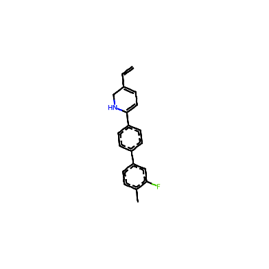 C=CC1=CC=C(c2ccc(-c3ccc(C)c(F)c3)cc2)NC1